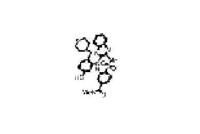 CNC(=O)c1ccc(S(=O)(=O)Nc2nc3ccccc3nc2Nc2cc(O)ccc2CC2CCSCC2)cc1